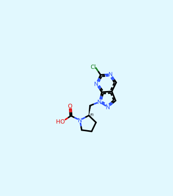 O=C(O)N1CCC[C@@H]1Cn1ncc2cnc(Cl)nc21